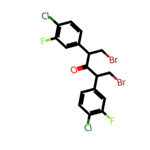 O=C(C(CBr)c1ccc(Cl)c(F)c1)C(CBr)c1ccc(Cl)c(F)c1